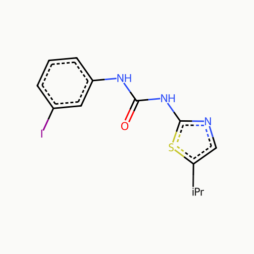 CC(C)c1cnc(NC(=O)Nc2cccc(I)c2)s1